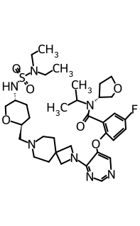 CCN(CC)S(=O)(=O)N[C@@H]1CC[C@@H](CN2CCC3(CC2)CN(c2ncncc2Oc2ccc(F)cc2C(=O)N(C(C)C)[C@@H]2CCOC2)C3)OC1